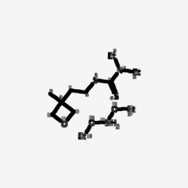 CCN(CC)C(=S)SCCC1(C)COC1.CCO[SiH2]OCC